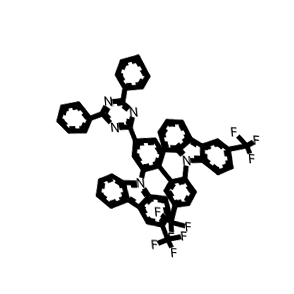 FC(F)(F)c1ccc(-n2c3ccccc3c3cc(C(F)(F)F)ccc32)c(-c2ccc(-c3nc(-c4ccccc4)nc(-c4ccccc4)n3)cc2-n2c3ccccc3c3cc(C(F)(F)F)ccc32)c1